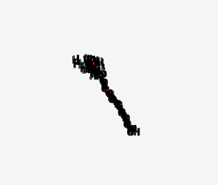 CC(C)(C)N(Nc1ccc(C(=O)NCCOCCOCCOCCOCCOCCOCCOCCOCCC(=O)O)cn1)C(=O)O